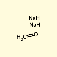 C=O.[NaH].[NaH]